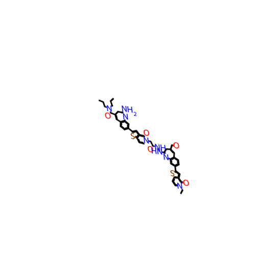 CCCN(CCC)C(=O)C1=Cc2ccc(-c3cc4c(=O)n(CC(=O)NNC5=Nc6cc(-c7cc8c(=O)n(CC)ccc8s7)ccc6C=C(C=O)C5)ccc4s3)cc2N=C(N)C1